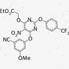 CCOC(=O)COc1nc(Oc2ccc(C(F)(F)F)cc2)nc(Oc2cc(C#N)cc(OC)c2)c1[N+](=O)[O-]